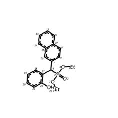 CCOP(=O)(OCC)C(c1ccc2ccccc2c1)c1ccccc1O